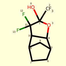 OC1(C(F)(F)F)OC2C3CCC(C3)C2C1(F)F